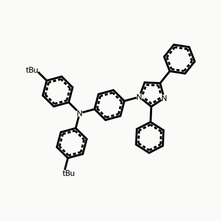 CC(C)(C)c1ccc(N(c2ccc(-n3cc(-c4ccccc4)nc3-c3ccccc3)cc2)c2ccc(C(C)(C)C)cc2)cc1